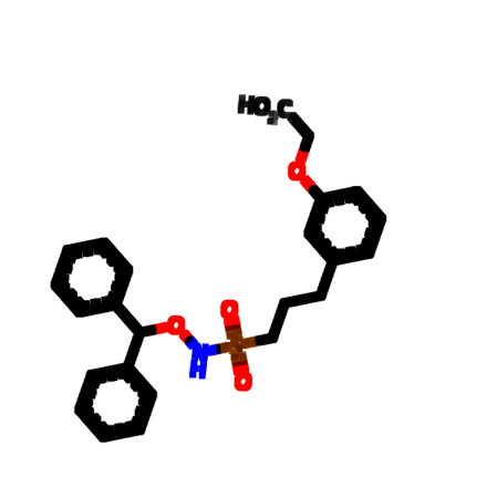 O=C(O)COc1cccc(CCCS(=O)(=O)NOC(c2ccccc2)c2ccccc2)c1